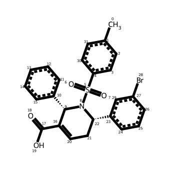 Cc1ccc(S(=O)(=O)N2[C@@H](c3ccccc3)C(C(=O)O)=CC[C@H]2c2cccc(Br)c2)cc1